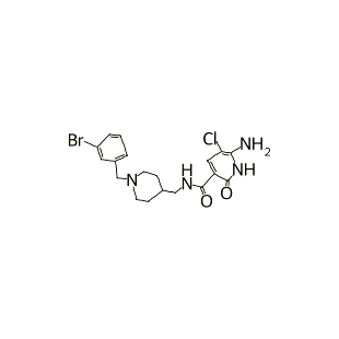 Nc1[nH]c(=O)c(C(=O)NCC2CCN(Cc3cccc(Br)c3)CC2)cc1Cl